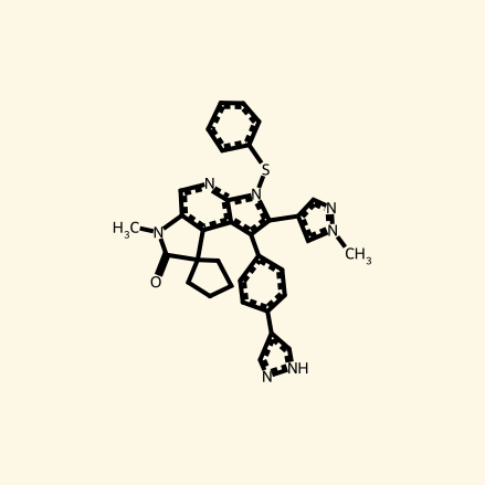 CN1C(=O)C2(CCCC2)c2c1cnc1c2c(-c2ccc(-c3cn[nH]c3)cc2)c(-c2cnn(C)c2)n1Sc1ccccc1